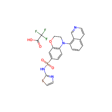 O=C(O)C(F)(F)F.O=S(=O)(Nc1nccs1)c1ccc2c(c1)OCCN2c1cccc2ccncc12